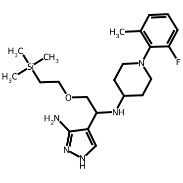 Cc1cccc(F)c1N1CCC(NC(COCC[Si](C)(C)C)c2c[nH]nc2N)CC1